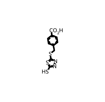 O=C(O)c1ccc(CSc2nnc(S)s2)cc1